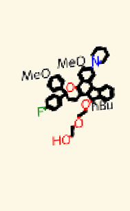 CCCCC1(OCCOCCO)c2ccccc2-c2c1c1c(c3cc(OC)c(N4CCCCC4)cc23)OC(c2ccc(F)cc2)(c2ccc(OC)cc2)C=C1